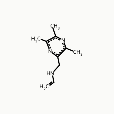 C=CNCc1nc(C)c(C)nc1C